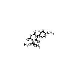 Cc1ccc(N2C(=O)CC(=O)N(C(C)C)C2=O)cc1